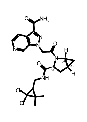 CC1(C)C(CNC(=O)[C@@H]2C[C@H]3C[C@H]3N2C(=O)Cn2nc(C(N)=O)c3ccncc32)C1(Cl)Cl